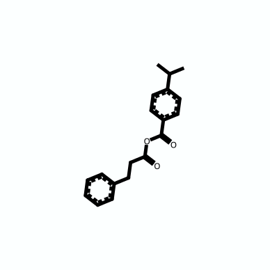 CC(C)c1ccc(C(=O)OC(=O)CCc2ccccc2)cc1